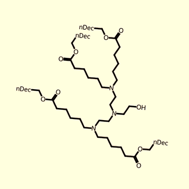 CCCCCCCCCCCOC(=O)CCCCCN(CCCCCC(=O)OCCCCCCCCCCC)CCN(CCO)CCN(CCCCCC(=O)OCCCCCCCCCCC)CCCCCC(=O)OCCCCCCCCCCC